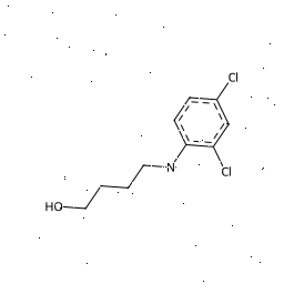 OCCCC[N]c1ccc(Cl)cc1Cl